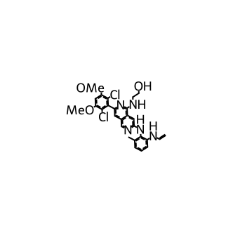 C=CNc1cccc(C)c1Nc1cc2c(NCCO)nc(-c3c(Cl)c(OC)cc(OC)c3Cl)cc2cn1